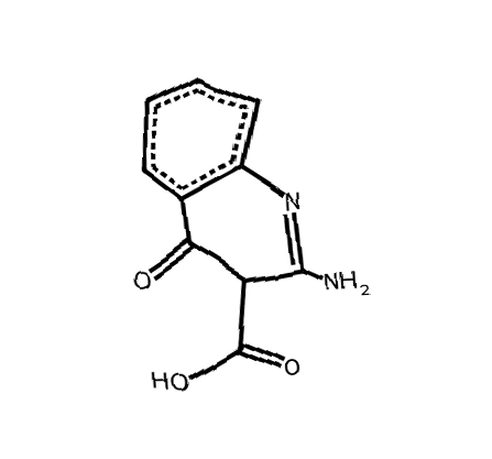 NC1=Nc2ccccc2C(=O)C1C(=O)O